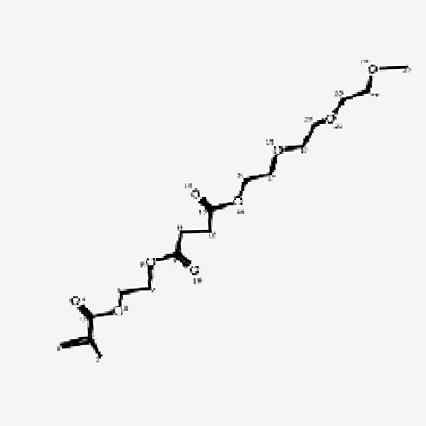 C=C(C)C(=O)OCCOC(=O)CCC(=O)OCCOCCOCCOC